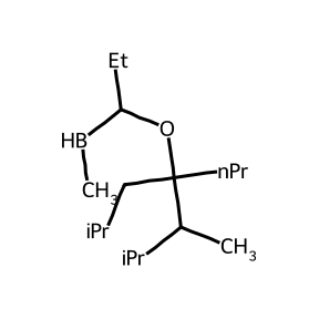 CBC(CC)OC(CCC)(CC(C)C)C(C)C(C)C